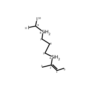 CC=C(C)[SiH2]CCC[SiH2]C(I)I